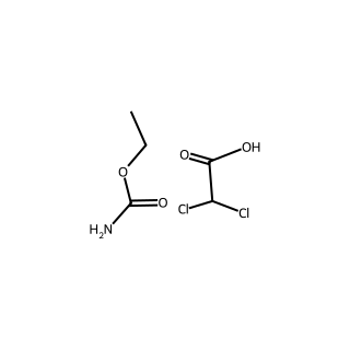 CCOC(N)=O.O=C(O)C(Cl)Cl